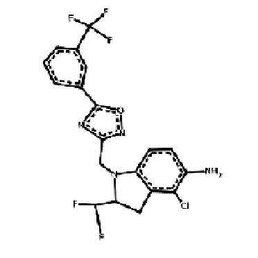 Nc1ccc2c(c1Cl)CC(C(F)F)N2Cc1noc(-c2cccc(C(F)(F)F)c2)n1